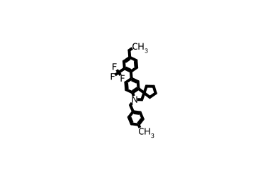 CCc1ccc(-c2ccc3c(c2)C2(CCCC2)CN3Cc2ccc(C)cc2)c(C(F)(F)F)c1